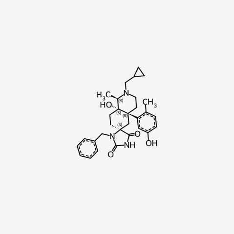 Cc1ccc(O)cc1[C@]12CCN(CC3CC3)[C@H](C)[C@]1(O)CC[C@]1(C2)C(=O)NC(=O)N1Cc1ccccc1